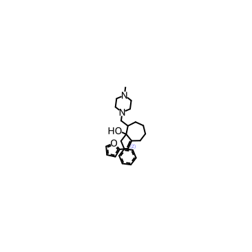 CN1CCN(CC2CCCC/C(=C/c3ccco3)C2(O)Cc2ccccc2)CC1